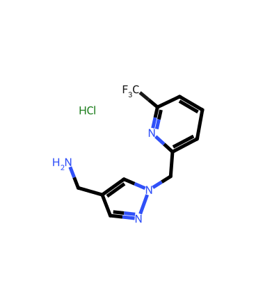 Cl.NCc1cnn(Cc2cccc(C(F)(F)F)n2)c1